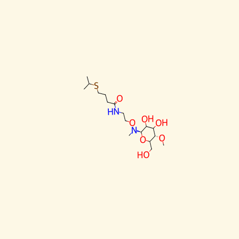 CO[C@@H]1C(CO)O[C@@H](N(C)OCCNC(=O)CCCSC(C)C)C(O)C1O